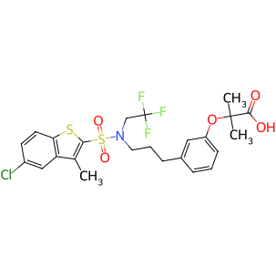 Cc1c(S(=O)(=O)N(CCCc2cccc(OC(C)(C)C(=O)O)c2)CC(F)(F)F)sc2ccc(Cl)cc12